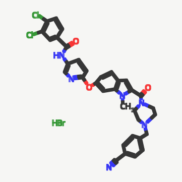 Br.Cn1c(C(=O)N2CCN(Cc3ccc(C#N)cc3)CC2)cc2ccc(Oc3ccc(NC(=O)c4ccc(Cl)c(Cl)c4)cn3)cc21